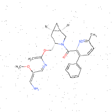 C=C(/N=C\C(=C/N)OC)OC[C@@H]1C[C@H]2C[C@H]2CN1C(=O)c1nc(C)ccc1-c1ccccc1